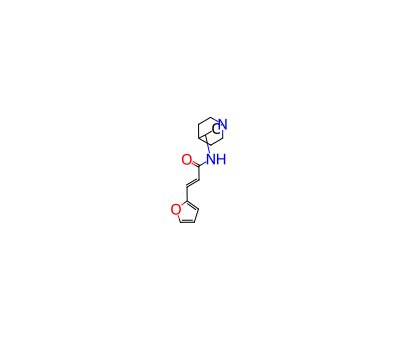 O=C(C=Cc1ccco1)NC1CN2CCC1CC2